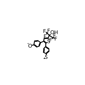 COc1ccc(-c2cc(C(O)(C(F)(F)F)C(F)(F)F)sc2-c2ccc(SC)cc2)cc1